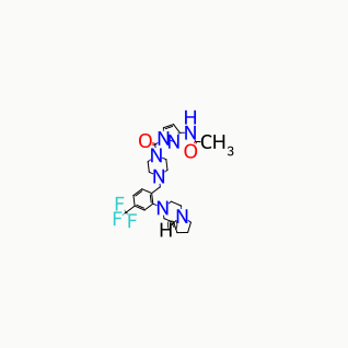 CC(=O)Nc1ccn(C(=O)N2CCN(Cc3ccc(C(F)(F)F)cc3N3CCN4CCC[C@@H]4C3)CC2)n1